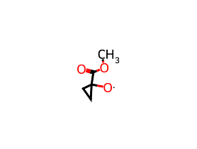 COC(=O)C1([O])CC1